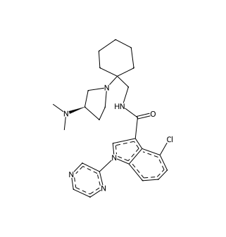 CN(C)[C@@H]1CCN(C2(CNC(=O)c3cn(-c4cnccn4)c4cccc(Cl)c34)CCCCC2)C1